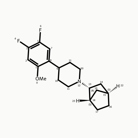 COc1cc(F)c(F)cc1C1CCN([C@@H]2C[C@H]3CC[C@H]2C3)CC1